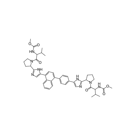 COC(=O)NC(C(=O)N1CCCC1c1ncc(-c2ccc(-c3ccc(-c4cnc(C5CCCN5C(=O)C(NC(=O)OC)C(C)C)[nH]4)c4ccccc34)cc2)[nH]1)C(C)C